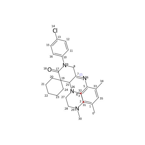 Cc1cc(C)c(/N=C2/CN(c3ccc(Cl)cc3)C(=O)C3(CCCCC3)C2N2CCN(C)CC2)c(C)c1